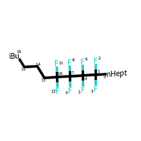 CCCCCCCC(F)(F)C(F)(F)C(F)(F)C(F)(F)CCCC(C)CC